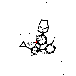 Cc1nc(N2C3CCC2CC(OCc2c(-c4cccc(F)c4)noc2C2CC2)C3)ccc1C(=O)O